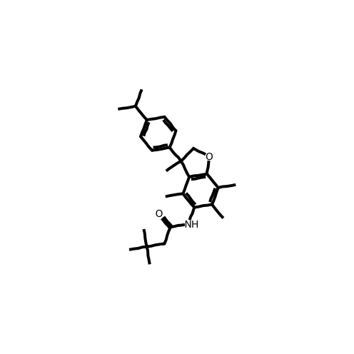 Cc1c(C)c2c(c(C)c1NC(=O)CC(C)(C)C)C(C)(c1ccc(C(C)C)cc1)CO2